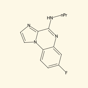 [CH2]CCNc1nc2cc(F)ccc2n2ccnc12